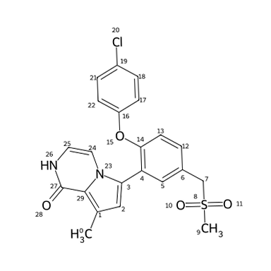 Cc1cc(-c2cc(CS(C)(=O)=O)ccc2Oc2ccc(Cl)cc2)n2cc[nH]c(=O)c12